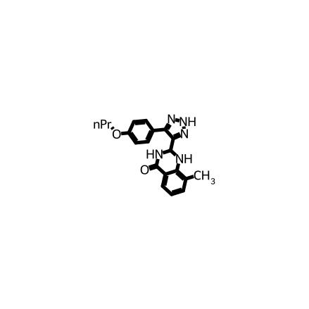 CCCOc1ccc(-c2n[nH]nc2C2NC(=O)c3cccc(C)c3N2)cc1